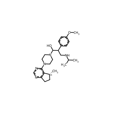 COc1ccc(C(CNC(C)C)C(O)N2CCN(c3ncnc4c3[C@H](C)CC4)CC2)cc1